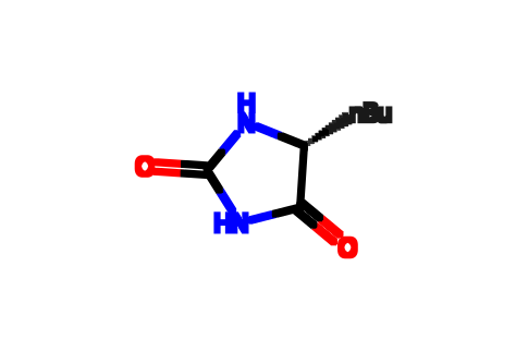 CCCC[C@H]1NC(=O)NC1=O